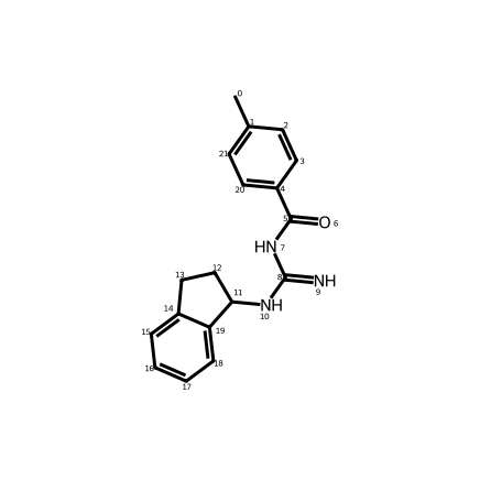 Cc1ccc(C(=O)NC(=N)NC2CCc3ccccc32)cc1